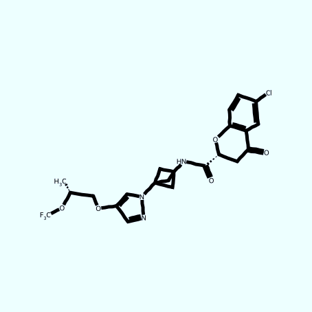 C[C@H](COc1cnn(C23CC(NC(=O)[C@H]4CC(=O)c5cc(Cl)ccc5O4)(C2)C3)c1)OC(F)(F)F